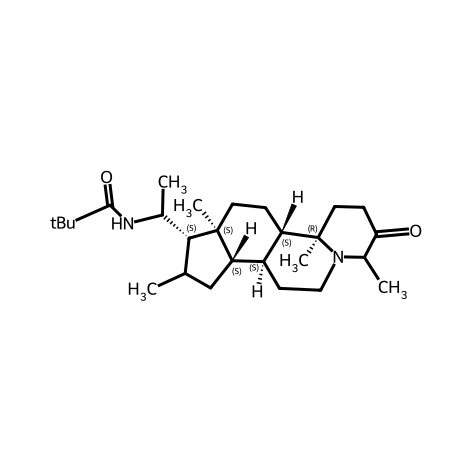 CC1C[C@H]2[C@@H]3CCN4C(C)C(=O)CC[C@]4(C)[C@H]3CC[C@]2(C)[C@H]1C(C)NC(=O)C(C)(C)C